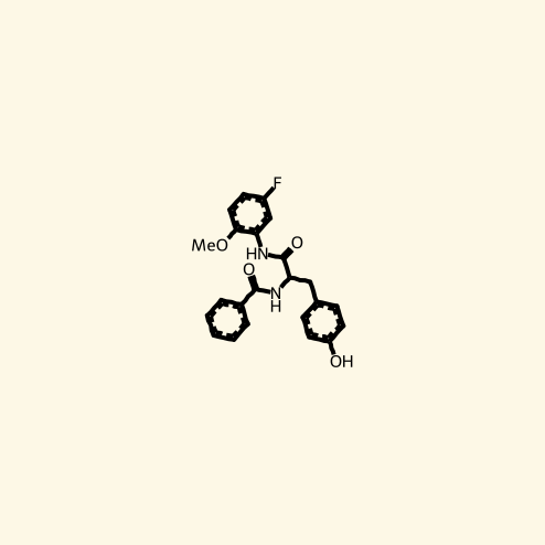 COc1ccc(F)cc1NC(=O)C(Cc1ccc(O)cc1)NC(=O)c1ccccc1